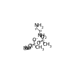 CC(=O)[O-].CC(=O)[O-].NCCN.[Na+].[Na+]